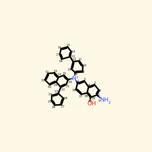 Nc1ccc2cc(N(c3cccc(-c4ccccc4)c3)c3cc(-c4ccccc4)c4ccccc4c3)ccc2c1O